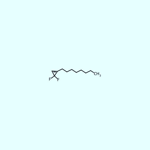 CCCCCCCCC1=CC1(F)F